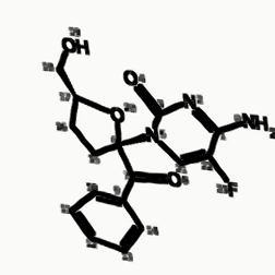 Nc1nc(=O)n([C@@]2(C(=O)c3ccccc3)CC[C@@H](CO)O2)cc1F